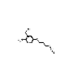 [N-]=[N+]=NCCCOc1ccc([N+](=O)[O-])c(CO)c1